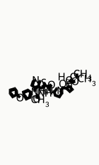 Cc1cc(Oc2ccccc2)ccc1N1C(=O)Nc2c(C(=O)NC3CCCN(C(=O)C4CCN4C(=O)OC(C)(C)C)C3)sc3nccc1c23